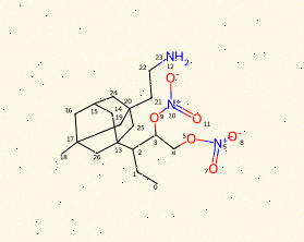 CCC(C(CO[N+](=O)[O-])O[N+](=O)[O-])C12CC3CC(C)(CC(CCN)(C3)C1)C2